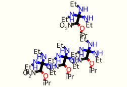 CCNC(NCC)(NCC)C(OC(C)C)[N+](=O)[O-].CCNC(NCC)(NCC)C(OC(C)C)[N+](=O)[O-].CCNC(NCC)(NCC)C(OC(C)C)[N+](=O)[O-].CCNC(NCC)(NCC)C(OC(C)C)[N+](=O)[O-].[Ti]